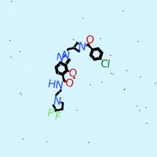 COc1c(C(=O)NCCN2CCC(F)(F)C2)ccc2nn(CC3CN(C(=O)c4ccc(Cl)cc4)C3)cc12